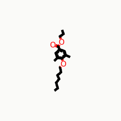 CCCCCCCOc1c(C)cc(C(=O)OCCC)cc1C